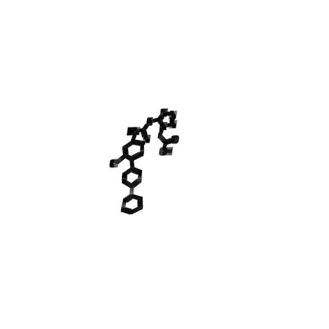 O=C(O)Cn1nnnc1Sc1nc2cc(-c3ccc(-c4ccccc4)cc3)c(Cl)cc2[nH]1